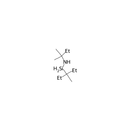 CCC(C)(C)N[SiH2]C(C)(CC)CC